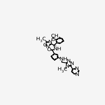 COc1ccccc1[C@@H](NC(=O)c1cccc(NCc2nnc(-c3ccncn3)n2C)c1)c1noc(C)n1